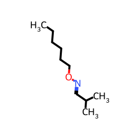 CCCCCCON=CC(C)C